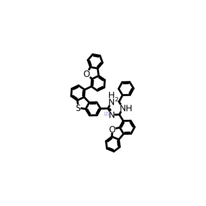 N/C(=N\C(NCC1C=CC=CC1)c1cccc2c1oc1ccccc12)c1ccc2sc3cccc(-c4cccc5c4oc4ccccc45)c3c2c1